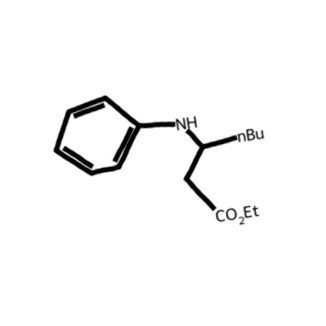 CCCCC(CC(=O)OCC)Nc1ccccc1